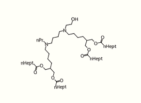 CCCCCCCC(=O)OCC(CCCCN(CCC)CCCCN(CCO)CCCCC(COC(=O)CCCCCCC)COC(=O)CCCCCCC)COC(=O)CCCCCCC